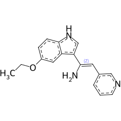 CCOc1ccc2[nH]cc(/C(N)=C/c3cccnc3)c2c1